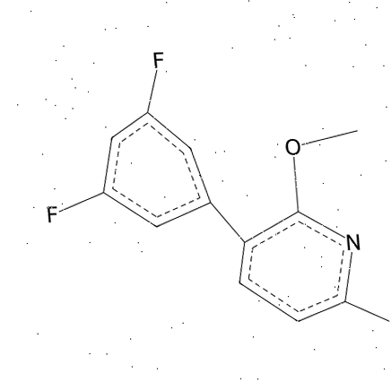 COc1nc(C)ccc1-c1cc(F)cc(F)c1